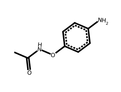 CC(=O)NOc1ccc(N)cc1